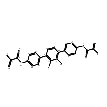 C=C(C)C(=O)Oc1ccc(-c2ccc(-c3ccc(OC(=O)C(=C)C)cc3)c(F)c2C)cc1